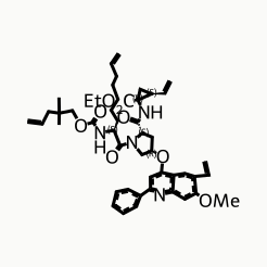 C=CCCCCC[C@H](NC(=O)OCC(C)(C)CC=C)C(=O)N1C[C@H](Oc2cc(-c3ccccc3)nc3cc(OC)c(C=C)cc23)C[C@H]1C(=O)N[C@]1(C(=O)OCC)C[C@H]1C=C